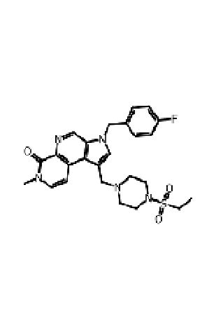 CCS(=O)(=O)N1CCN(Cc2cn(Cc3ccc(F)cc3)c3cnc4c(=O)n(C)ccc4c23)CC1